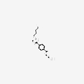 N=[N+]=NC(=O)c1ccc(-c2ncn(CCCCC(F)(F)F)n2)cc1